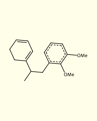 COc1cccc(CC(C)C2=CC=CCC2)c1OC